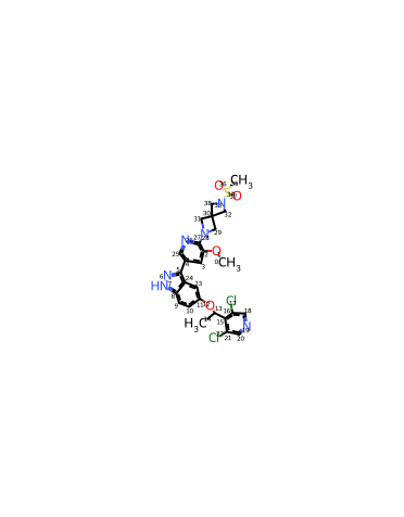 COc1cc(-c2n[nH]c3ccc(OC(C)c4c(Cl)cncc4Cl)cc23)cnc1N1CC2(C1)CN(S(C)(=O)=O)C2